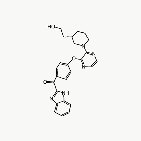 O=C(c1ccc(Oc2nccnc2N2CCCC(CCO)C2)cc1)c1nc2ccccc2[nH]1